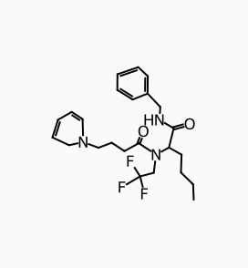 CCCCC(C(=O)NCc1ccccc1)N(CC(F)(F)F)C(=O)CCCN1C=CC=CC1